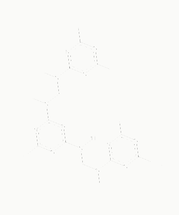 [3H]N(CN([3H])c1nc(C)nc(N([3H])CN(C)c2nc(C)nc(C)n2)n1)c1nc(C)nc(C)n1